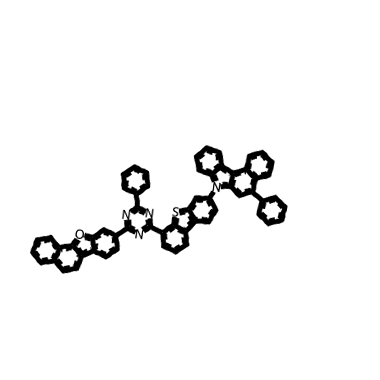 c1ccc(-c2nc(-c3ccc4c(c3)oc3c5ccccc5ccc43)nc(-c3cccc4c3sc3cc(-n5c6ccccc6c6c7ccccc7c(-c7ccccc7)cc65)ccc34)n2)cc1